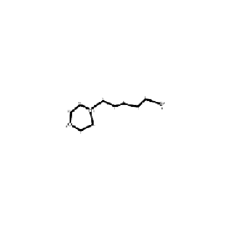 BrCCCCCN1CCOCC1